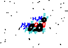 Nc1c(F)c(F)cc(Oc2cc(Oc3cc(F)c(F)c(N)c3F)c(C(F)(F)F)cc2F)c1F